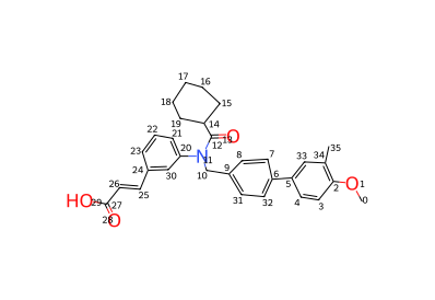 COc1ccc(-c2ccc(CN(C(=O)C3CCCCC3)c3cccc(C=CC(=O)O)c3)cc2)cc1C